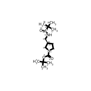 CC(C)(C)OC(=O)N1CC[C@H](CN[S@@+]([O-])C(C)(C)C)C1